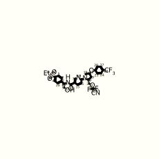 CCS(=O)(=O)c1ccc([C@H](CO)NC(=O)c2ccc(N3CC(Oc4ccc(C(F)(F)F)cc4)C[C@H]3COC(F)(F)C#N)nc2)cc1